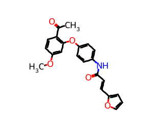 COc1ccc(C(C)=O)c(Oc2ccc(NC(=O)/C=C/c3ccco3)cc2)c1